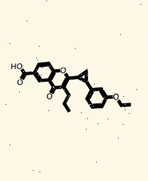 CCCc1c(C2CC2c2cccc(OCC)c2)oc2ccc(C(=O)O)cc2c1=O